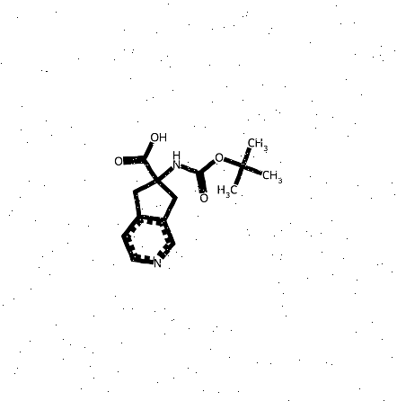 CC(C)(C)OC(=O)NC1(C(=O)O)Cc2ccncc2C1